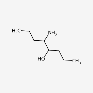 CCCC(N)C(O)CCC